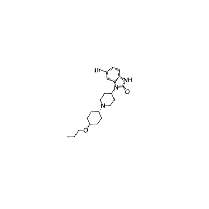 CCCO[C@H]1CC[C@H](N2CCC(n3c(=O)[nH]c4ccc(Br)cc43)CC2)CC1